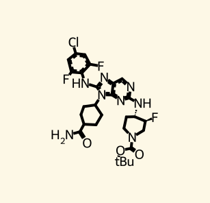 CC(C)(C)OC(=O)N1CC[C@H](Nc2ncc3nc(Nc4c(F)cc(Cl)cc4F)n(C4CCC(C(N)=O)CC4)c3n2)[C@@H](F)C1